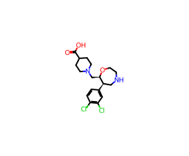 O=C(O)C1CCN(C[C@H]2OCCNC[C@H]2c2ccc(Cl)c(Cl)c2)CC1